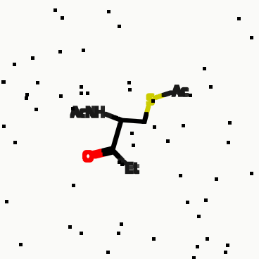 CCC(=O)C(CSC(C)=O)NC(C)=O